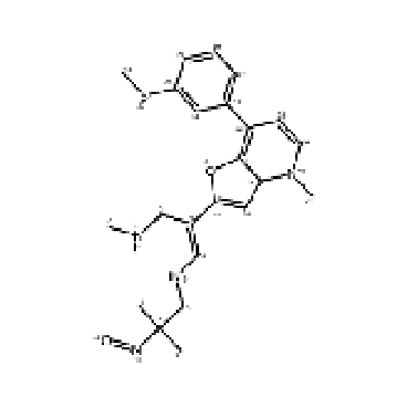 CNC/C(=C\NCC(C)(C)N=O)C1=CC2C(=C(c3cccc(SC)c3)C=CN2C)O1